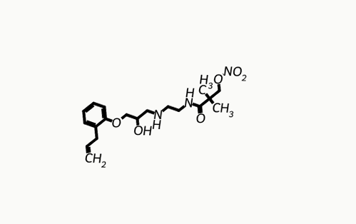 C=CCc1ccccc1OCC(O)CNCCNC(=O)C(C)(C)CO[N+](=O)[O-]